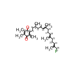 CC1=C(C)C(=O)C(CC[C@@H](C)CC/C=C(\C)CC/C=C(\C)CC/C=C(\C)CF)=C(C)C1=O